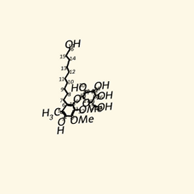 COc1c(O)c(C)c(CCCCCCCCCCO)c(O[C@H]2O[C@H](CO)[C@@H](O)[C@H](O)[C@H]2O)c1OC